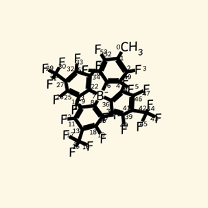 Cc1c(F)c(F)c([B-](c2c(F)c(F)c(C(F)(F)F)c(F)c2F)(c2c(F)c(F)c(C(F)(F)F)c(F)c2F)c2c(F)c(F)c(C(F)(F)F)c(F)c2F)c(F)c1F